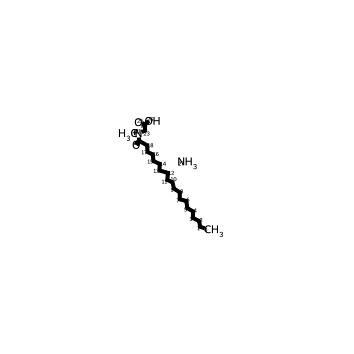 CCCCCCCCCCCCCCCCCCCC(=O)N(C)CC(=O)O.N